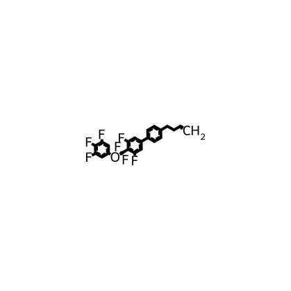 C=CCCc1ccc(-c2cc(F)c(C(F)(F)Oc3cc(F)c(F)c(F)c3)c(F)c2)cc1